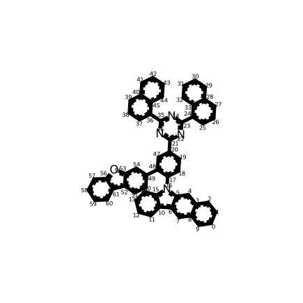 c1ccc2cc3c(cc2c1)c1ccccc1n3-c1ccc(-c2nc(-c3cccc4ccccc34)nc(-c3cccc4ccccc34)n2)cc1-c1ccc2c(c1)oc1ccccc12